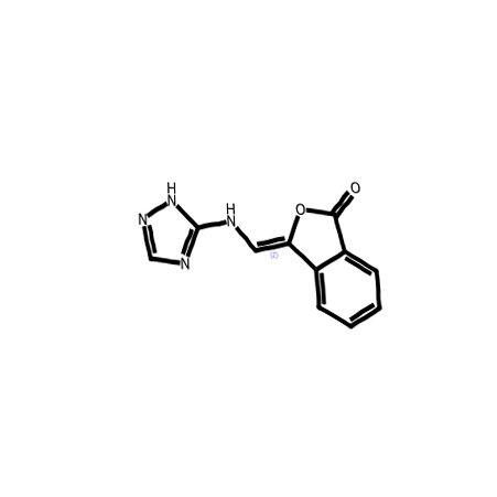 O=C1O/C(=C\Nc2ncn[nH]2)c2ccccc21